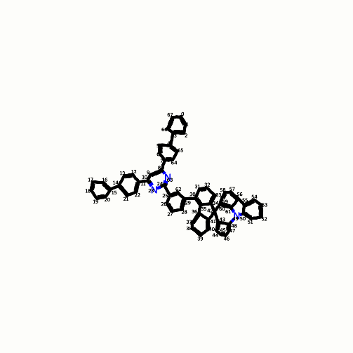 c1ccc(-c2ccc(-c3cc(-c4ccc(-c5ccccc5)cc4)nc(-c4cccc(-c5cccc6c5-c5ccccc5C65c6ccccc6-n6c7ccccc7c7cccc5c76)c4)n3)cc2)cc1